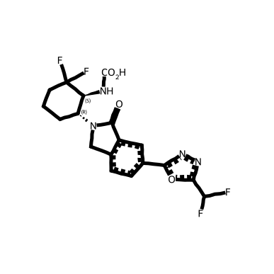 O=C(O)N[C@H]1[C@H](N2Cc3ccc(-c4nnc(C(F)F)o4)cc3C2=O)CCCC1(F)F